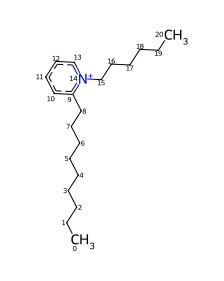 CCCCCCCCCc1cccc[n+]1CCCCCC